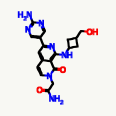 NC(=O)Cn1ccc2cc(-c3cnc(N)nc3)nc(NC3CC(CO)C3)c2c1=O